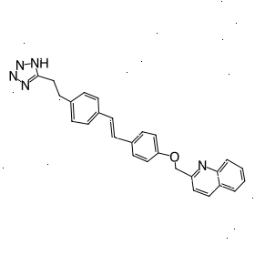 C(=C\c1ccc(OCc2ccc3ccccc3n2)cc1)/c1ccc(CCc2nnn[nH]2)cc1